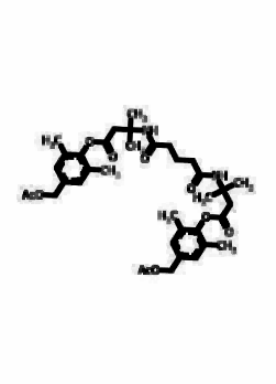 CC(=O)OCc1cc(C)c(OC(=O)CC(C)(C)NC(=O)CCCC(=O)NC(C)(C)CC(=O)Oc2c(C)cc(COC(C)=O)cc2C)c(C)c1